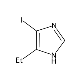 CCc1[nH]cnc1I